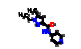 CCn1nc(C(=O)Nc2ccncc2)cc1C